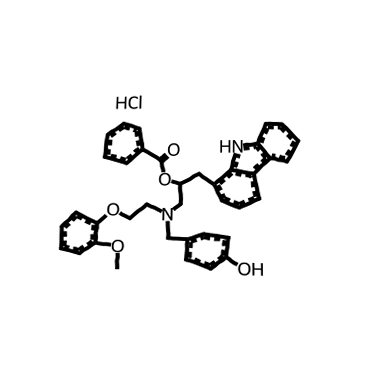 COc1ccccc1OCCN(Cc1ccc(O)cc1)CC(Cc1cccc2c1[nH]c1ccccc12)OC(=O)c1ccccc1.Cl